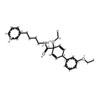 CCOc1cccc(C2C=CC(OCC)(C(=O)NCCCCc3cccnc3)C=C2)c1